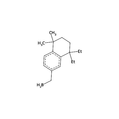 BCc1ccc2c(c1)C(CC)(CC)CCC2(C)C